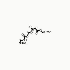 COCOC(=O)CC(=O)OCOC(=O)NCNC(C)=O